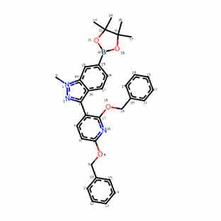 Cn1nc(-c2ccc(OCc3ccccc3)nc2OCc2ccccc2)c2ccc(B3OC(C)(C)C(C)(C)O3)cc21